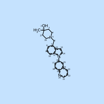 CC1(O)CCN(Cc2cccc3c2ccn3-c2ccc3ncccc3c2)CC1